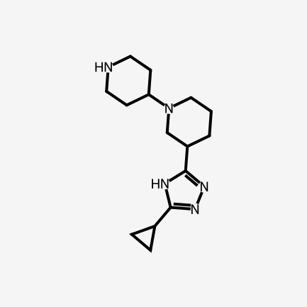 C1CC(c2nnc(C3CC3)[nH]2)CN(C2CCNCC2)C1